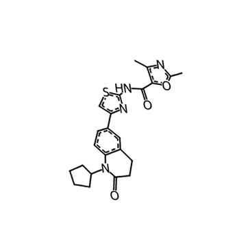 Cc1nc(C)c(C(=O)Nc2nc(-c3ccc4c(c3)CCC(=O)N4C3CCCC3)cs2)o1